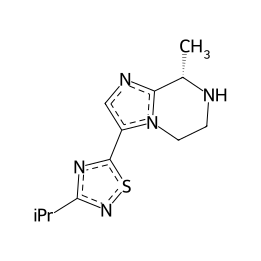 CC(C)c1nsc(-c2cnc3n2CCN[C@H]3C)n1